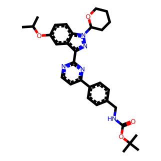 CC(C)Oc1ccc2c(c1)c(-c1nccc(-c3ccc(CNC(=O)OC(C)(C)C)cc3)n1)nn2C1CCCCO1